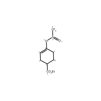 CCOC(=O)C1CC=C(OS(=O)C(F)(F)F)CC1